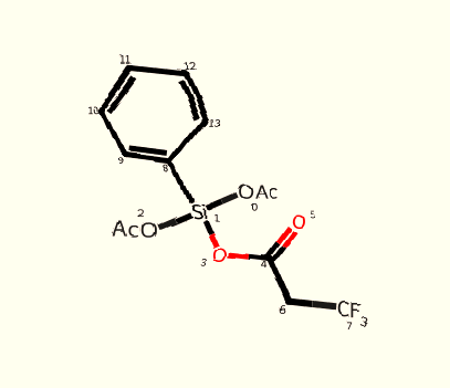 CC(=O)O[Si](OC(C)=O)(OC(=O)CC(F)(F)F)c1ccccc1